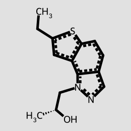 CCc1cc2c(ccc3cnn(C[C@@H](C)O)c32)s1